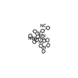 N#Cc1ccc(-n2c3ccccc3c3c2ccc2c4ccccc4n(-c4ccccc4)c23)c(-c2nc(-c3ccccc3)nc(-c3cc(-c4ccccc4C#N)ccc3-n3c4ccccc4c4c3ccc3c5ccccc5n(-c5ccccc5)c34)n2)c1